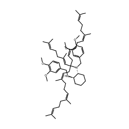 COc1ccc(CN[C@@H]2CCCC[C@H]2N(Cc2ccc(OC)c(OC)c2)C(/C=C(\C)CCC=C(C)C)(CC=C(C)CCC=C(C)CCC=C(C)C)CC=C(C)CCC=C(C)CCC=C(C)C)cc1OC